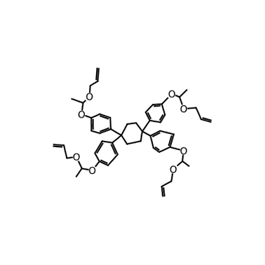 C=CCOC(C)Oc1ccc(C2(c3ccc(OC(C)OCC=C)cc3)CCC(c3ccc(OC(C)OCC=C)cc3)(c3ccc(OC(C)OCC=C)cc3)CC2)cc1